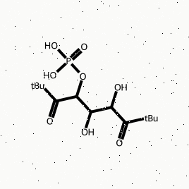 CC(C)(C)C(=O)C(O)C(O)C(OP(=O)(O)O)C(=O)C(C)(C)C